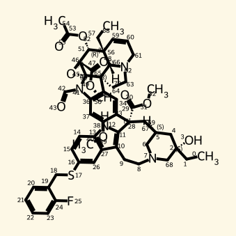 CC[C@]1(O)C[C@H]2CN(CCc3c([nH]c4ccc(SCc5ccccc5F)cc34)[C@@](C(=O)OC)(c3cc4c(cc3OC)N(C=O)[C@@]35O[C@]3(C(=O)OC)[C@H](OC(C)=O)[C@]3(CC)C=CCN6CC[C@]45[C@@H]63)C2)C1